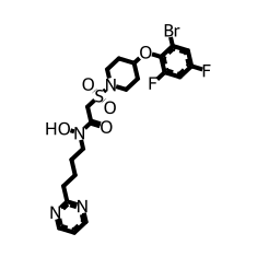 O=C(CS(=O)(=O)N1CCC(Oc2c(F)cc(F)cc2Br)CC1)N(O)CCCCc1ncccn1